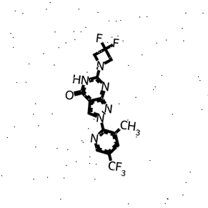 Cc1cc(C(F)(F)F)cnc1-n1cc2c(=O)[nH]c(N3CC(F)(F)C3)nc2n1